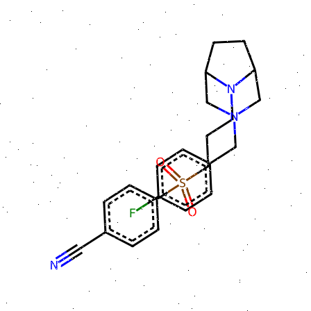 N#Cc1ccc(S(=O)(=O)CCCN2C3CCC2CN(Cc2ccc(F)cc2)C3)cc1